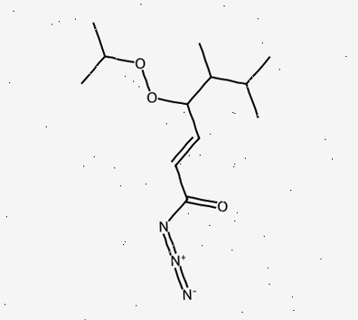 CC(C)OOC(/C=C/C(=O)N=[N+]=[N-])C(C)C(C)C